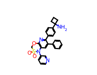 NC1(c2ccc(-c3nc4c(cc3-c3ccccc3)N(c3cccnc3)S(=O)(=O)CO4)cc2)CCC1